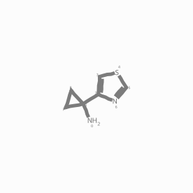 NC1(c2cscn2)CC1